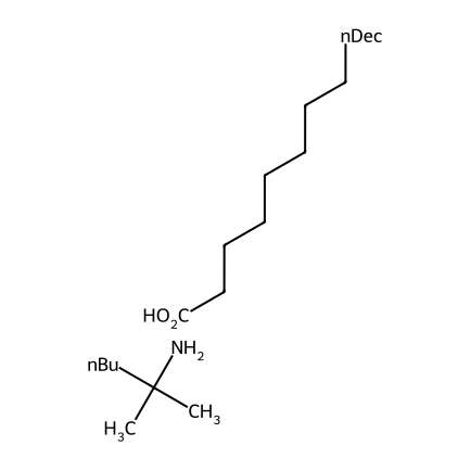 CCCCC(C)(C)N.CCCCCCCCCCCCCCCCCC(=O)O